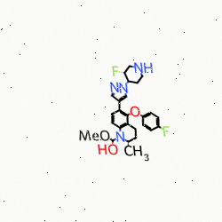 COC(O)N1c2ccc(-c3cnn([C@@H]4CCNC[C@H]4F)c3)c(Oc3ccc(F)cc3)c2CC[C@@H]1C